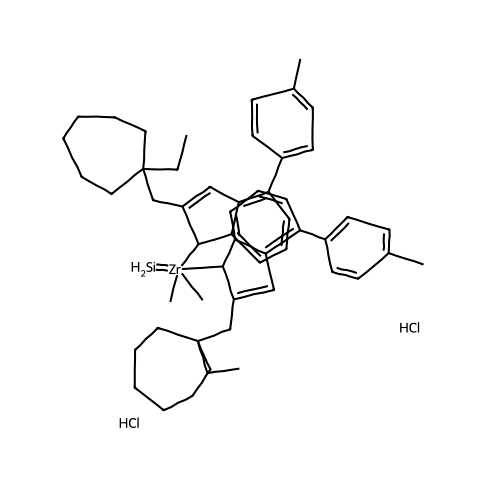 CCC1(CC2=Cc3c(-c4ccc(C)cc4)cccc3[CH]2[Zr]([CH3])([CH3])(=[SiH2])[CH]2C(CC3(CC)CCCCCC3)=Cc3c(-c4ccc(C)cc4)cccc32)CCCCCC1.Cl.Cl